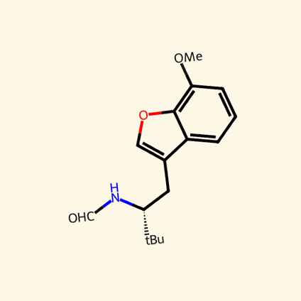 COc1cccc2c(C[C@@H](NC=O)C(C)(C)C)coc12